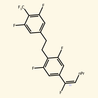 CCC/C=C(/F)c1cc(F)c(CCc2cc(F)c(C(F)(F)F)c(F)c2)c(F)c1